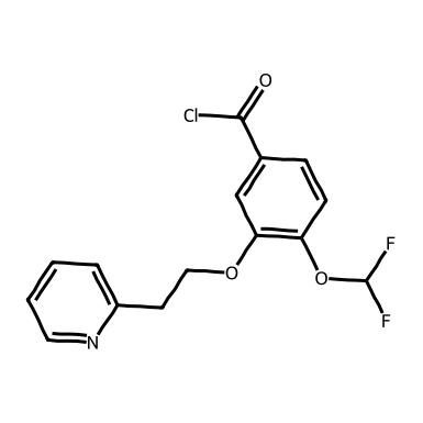 O=C(Cl)c1ccc(OC(F)F)c(OCCc2ccccn2)c1